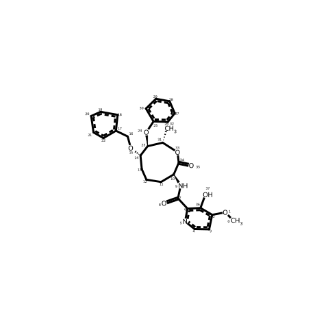 COc1ccnc(C(=O)N[C@H]2CCC[C@H](OCc3ccccc3)[C@@H](Oc3ccccc3)[C@H](C)OC2=O)c1O